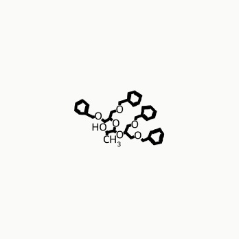 CC(O)C(OC(COCc1ccccc1)COCc1ccccc1)OC(COCc1ccccc1)COCc1ccccc1